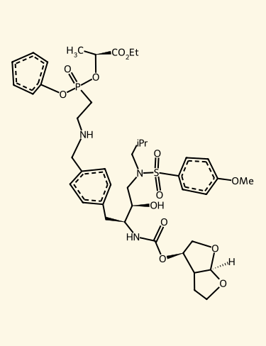 CCOC(=O)[C@H](C)OP(=O)(CCNCc1ccc(C[C@H](NC(=O)O[C@H]2CO[C@H]3OCCC32)[C@H](O)CN(CC(C)C)S(=O)(=O)c2ccc(OC)cc2)cc1)Oc1ccccc1